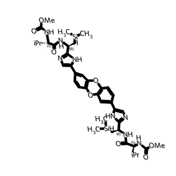 COC(=O)N[C@H](C(=O)N[C@@H](C[SiH](C)C)c1ncc(-c2ccc3c(c2)Oc2ccc(-c4cnc([C@H](C[SiH](C)C)NC(=O)[C@@H](NC(=O)OC)C(C)C)[nH]4)cc2O3)[nH]1)C(C)C